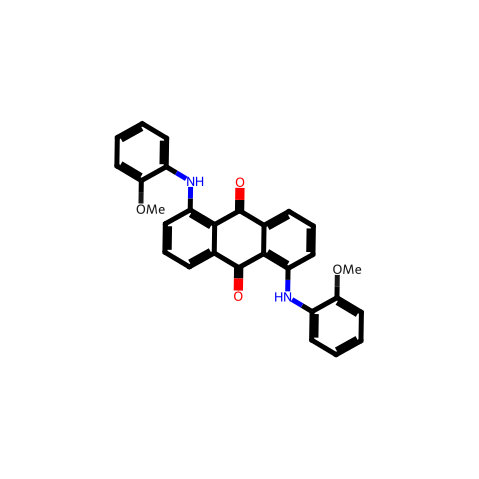 COc1ccccc1Nc1cccc2c1C(=O)c1cccc(Nc3ccccc3OC)c1C2=O